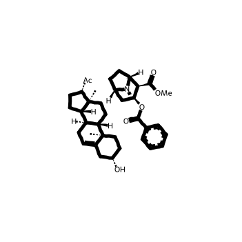 CC(=O)[C@H]1CC[C@H]2[C@@H]3CC=C4C[C@@H](O)CC[C@]4(C)[C@H]3CC[C@]12C.COC(=O)[C@H]1[C@@H](OC(=O)c2ccccc2)C[C@@H]2CC[C@H]1N2C